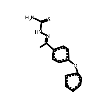 C/C(=N\NC(N)=S)c1ccc(Oc2ccccc2)cc1